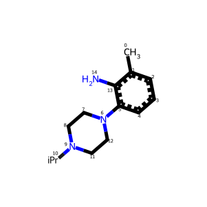 Cc1cccc(N2CCN(C(C)C)CC2)c1N